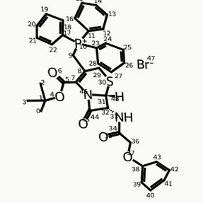 CC(C)(C)OC(=O)C1=C(C[P+](c2ccccc2)(c2ccccc2)c2ccccc2)CS[C@@H]2[C@H](NC(=O)COc3ccccc3)C(=O)N12.[Br-]